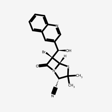 CC1(C)S[C@@H]2N(C(=O)[C@]2(Br)[C@H](O)c2cnc3ccccc3c2)[C@H]1C#N